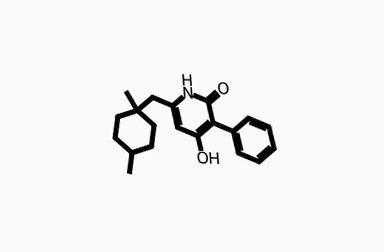 CC1CCC(C)(Cc2cc(O)c(-c3ccccc3)c(=O)[nH]2)CC1